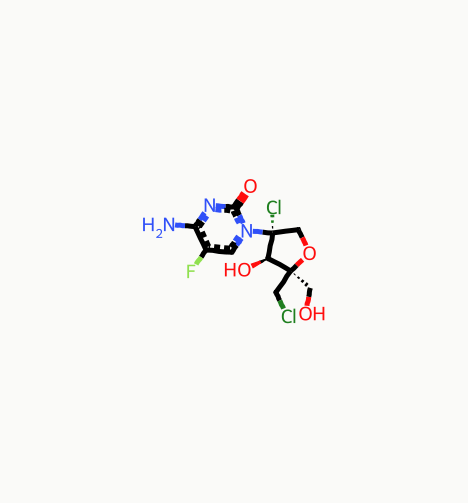 Nc1nc(=O)n([C@@]2(Cl)CO[C@@](CO)(CCl)[C@H]2O)cc1F